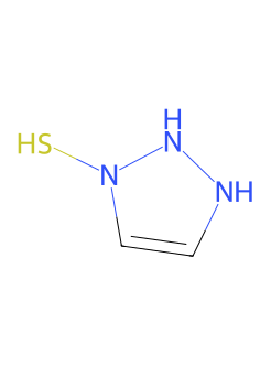 SN1C=CNN1